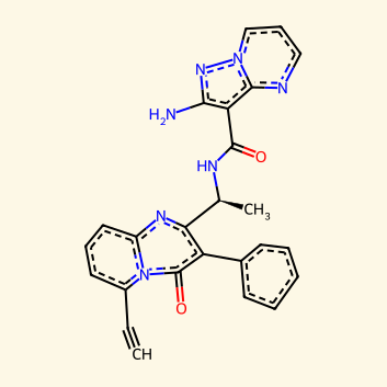 C#Cc1cccc2nc([C@H](C)NC(=O)c3c(N)nn4cccnc34)c(-c3ccccc3)c(=O)n12